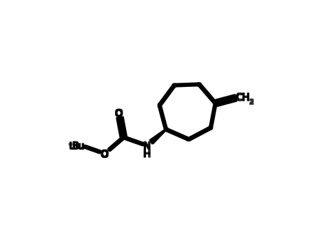 C=C1CCC[C@H](NC(=O)OC(C)(C)C)CC1